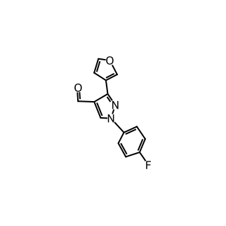 O=Cc1cn(-c2ccc(F)cc2)nc1-c1ccoc1